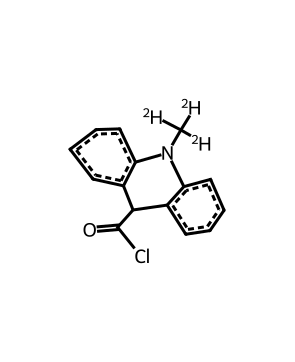 [2H]C([2H])([2H])N1c2ccccc2C(C(=O)Cl)c2ccccc21